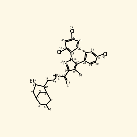 CCC1CC2CC(C)CC(C2)C1CCNC(=O)c1nn(-c2ccc(Cl)cc2Cl)c(-c2ccc(Cl)cc2)c1C